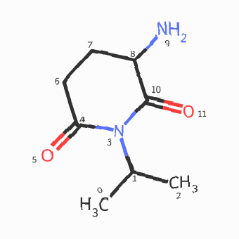 CC(C)N1C(=O)CCC(N)C1=O